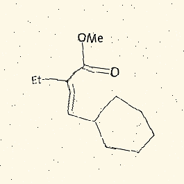 CCC(=CC1CCCCC1)C(=O)OC